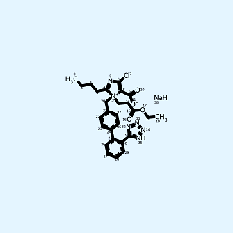 CCCCC1=NC(Cl)=C(C(=O)[O-])[N+]1(CCC(=O)OCC)Cc1ccc(-c2ccccc2-c2nnn[nH]2)cc1.[NaH]